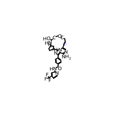 Nc1ncc2n3c(nc(-c4ccc(C(=O)Nc5cc(C(F)(F)F)ccn5)cc4)c13)[C@@H]1CC[C@H](C1)NC(O)CCOCC/C=C/2